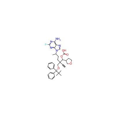 C#CC(CCC(C)n1cnc2c(N)nc(F)nc21)(CO[Si](c1ccccc1)(c1ccccc1)C(C)(C)C)C(OC(=O)O)C1CCOC1